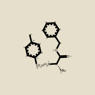 CCCC[C@H](N)C(=O)OCc1ccccc1.Cc1ccc(S(=O)(=O)O)cc1